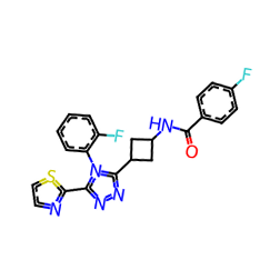 O=C(NC1CC(c2nnc(-c3nccs3)n2-c2ccccc2F)C1)c1ccc(F)cc1